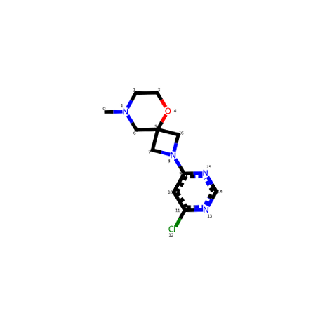 CN1CCOC2(C1)CN(c1cc(Cl)ncn1)C2